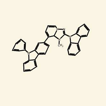 CN1C(n2c3ccccc3c3ccccc32)=NN2C=CC=C(c3ccc4c5ccccc5n(-c5ccccc5)c4c3)C21